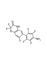 Nc1c(F)c(F)c(-c2cc3c(cc2F)OC(F)(F)C(=O)N3)c(F)c1F